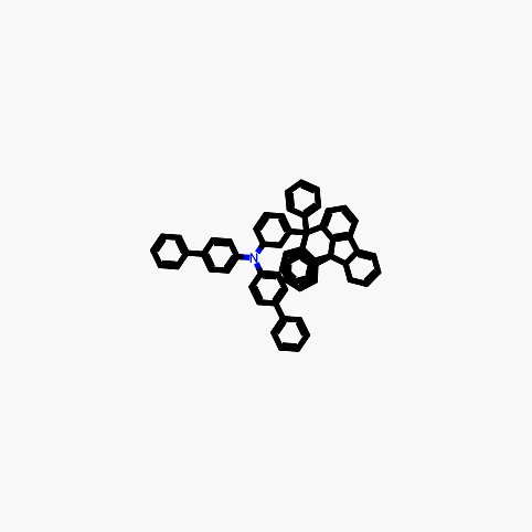 C1=CCC2C(=C1)c1cccc3c1C2(c1ccccc1)c1ccccc1C3(C1=CC=CC(N(c2ccc(-c3ccccc3)cc2)c2ccc(-c3ccccc3)cc2)C1)c1ccccc1